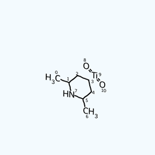 CC1CCCC(C)N1.[O]=[Ti]=[O]